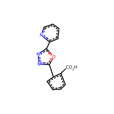 O=C(O)c1ccccc1-c1nnc(-c2ccccn2)o1